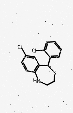 Clc1ccc2c(c1)C(c1ccccc1Cl)SCCN2